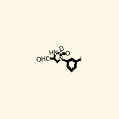 O=CC1CN(c2cccc(I)c2)S(=O)(=O)N1